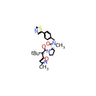 Cc1cc([C@H](C(=O)N2CCC[C@H]2C(=O)N(C)Cc2ccc(-c3cncs3)cc2)C(C)(C)C)on1